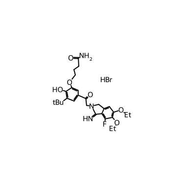 Br.CCOc1cc2c(c(F)c1OCC)C(=N)N(CC(=O)c1cc(OCCCC(N)=O)c(O)c(C(C)(C)C)c1)C2